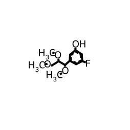 COCC(OC)C(OC)c1cc(O)cc(F)c1